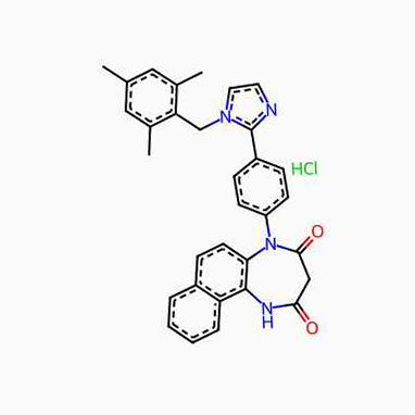 Cc1cc(C)c(Cn2ccnc2-c2ccc(N3C(=O)CC(=O)Nc4c3ccc3ccccc43)cc2)c(C)c1.Cl